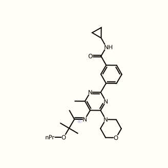 CCCOC(C)(C)/C(C)=N/c1c(C)nc(-c2cccc(C(=O)NC3CC3)c2)nc1N1CCOCC1